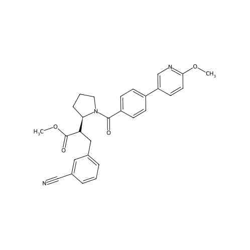 COC(=O)C(Cc1cccc(C#N)c1)[C@H]1CCCN1C(=O)c1ccc(-c2ccc(OC)nc2)cc1